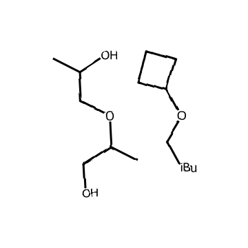 CC(O)COC(C)CO.CCC(C)COC1CCC1